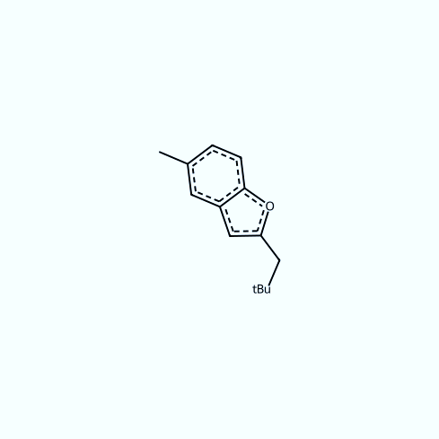 Cc1ccc2oc(CC(C)(C)C)cc2c1